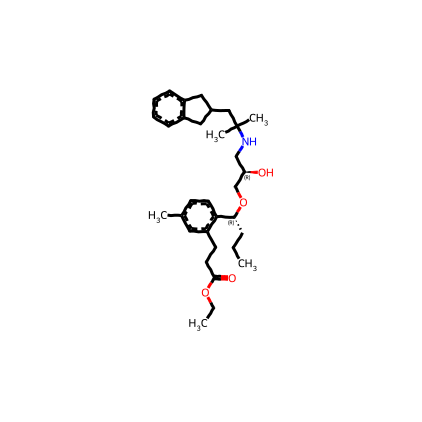 CCC[C@@H](OC[C@H](O)CNC(C)(C)CC1Cc2ccccc2C1)c1ccc(C)cc1CCC(=O)OCC